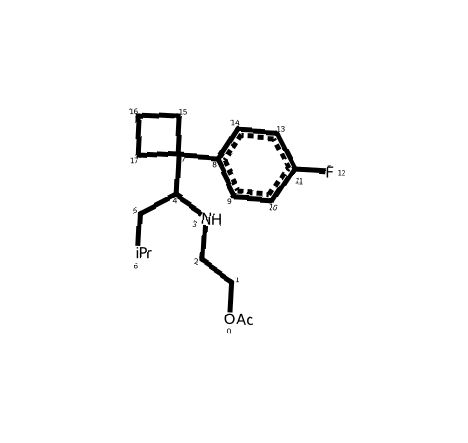 CC(=O)OCCNC(CC(C)C)C1(c2ccc(F)cc2)CCC1